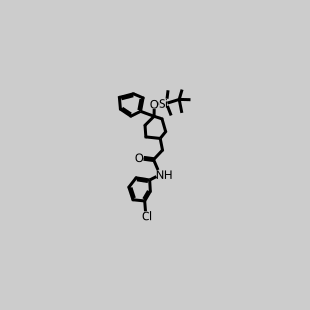 CC(C)(C)[Si](C)(C)OC1(c2ccccc2)CCC(CC(=O)Nc2cccc(Cl)c2)CC1